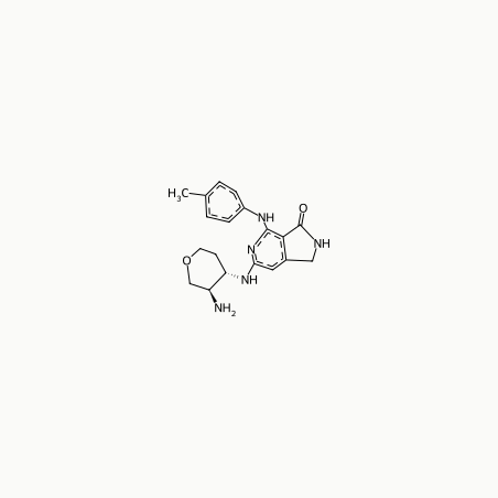 Cc1ccc(Nc2nc(N[C@H]3CCOC[C@@H]3N)cc3c2C(=O)NC3)cc1